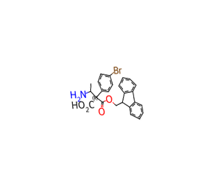 CC(N)[C@](C(=O)O)(C(=O)OCC1c2ccccc2-c2ccccc21)c1ccc(Br)cc1